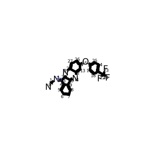 N#C/N=C1\c2ccccc2-c2nc3cc(Oc4ccc(C(F)(F)F)cc4)ccc3nc21